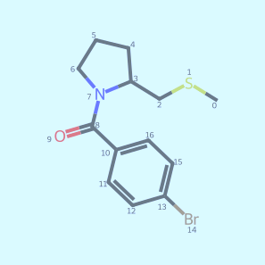 CSCC1CCCN1C(=O)c1ccc(Br)cc1